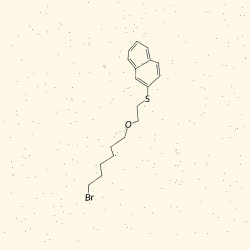 BrCCCCCCOCCSc1ccc2ccccc2c1